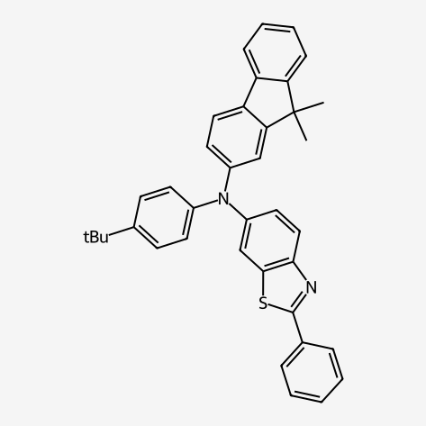 CC(C)(C)c1ccc(N(c2ccc3c(c2)C(C)(C)c2ccccc2-3)c2ccc3nc(-c4ccccc4)sc3c2)cc1